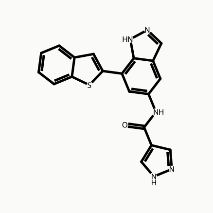 O=C(Nc1cc(-c2cc3ccccc3s2)c2[nH]ncc2c1)c1cn[nH]c1